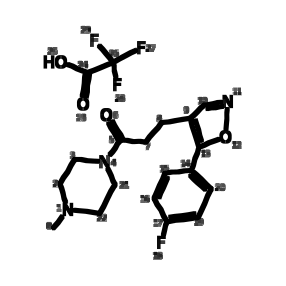 CN1CCN(C(=O)CCc2cnoc2-c2ccc(F)cc2)CC1.O=C(O)C(F)(F)F